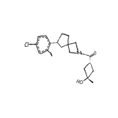 Cc1cc(Cl)ccc1C1CCC2(C1)CN(C(=O)[C@H]1C[C@@](C)(O)C1)C2